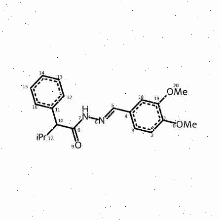 COc1ccc(/C=N/NC(=O)C(c2ccccc2)C(C)C)cc1OC